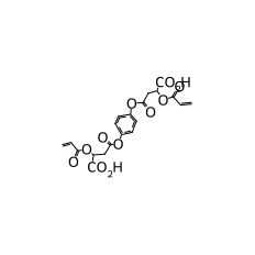 C=CC(=O)OC(CC(=O)Oc1ccc(OC(=O)CC(OC(=O)C=C)C(=O)O)cc1)C(=O)O